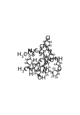 Cc1ncsc1-c1ccc([C@H](C)NC(=O)[C@@H]2C[C@@H](O)CN2C(=O)[C@@H](C(C)C)n2cc(-c3cccc(O[C@H]4C[C@H](NC(=O)C[C@@H]5N=C(c6ccc(Cl)cc6)c6c(sc(C)c6C)-n6c(C)nnc65)C4)c3)cn2)cc1